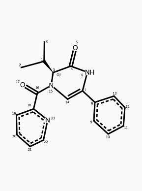 CC(C)[C@H]1C(=O)NC(c2ccccc2)=CN1C(=O)c1ccccn1